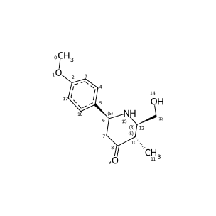 COc1ccc([C@@H]2CC(=O)[C@@H](C)[C@H](CO)N2)cc1